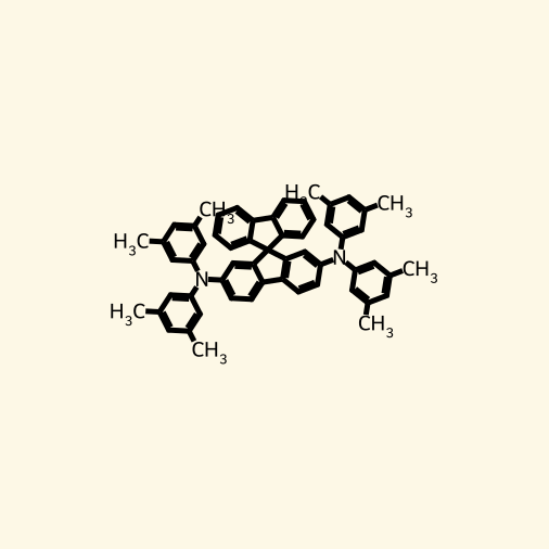 Cc1cc(C)cc(N(c2cc(C)cc(C)c2)c2ccc3c(c2)C2(c4ccccc4-c4ccccc42)c2cc(N(c4cc(C)cc(C)c4)c4cc(C)cc(C)c4)ccc2-3)c1